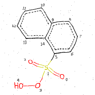 O=S(=O)(OO)c1cccc2ccccc12